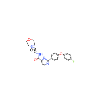 C[N+]1(CCNC(=O)c2ccnc(-c3ccc(Oc4ccc(F)cc4)cc3)n2)CCOCC1